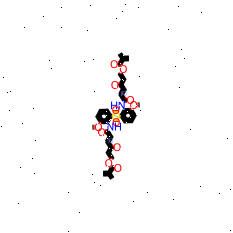 C=C(C)C(=O)OCCC(=O)/C=C/C(=O)Nc1c(OC)cccc1S(=O)(=O)c1cccc(OC)c1NC(=O)/C=C/C(=O)CCOC(=O)C(=C)C